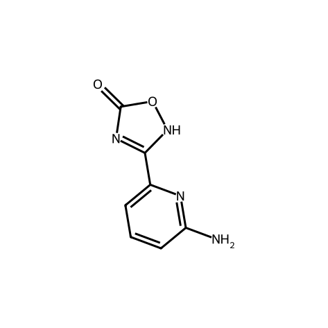 Nc1cccc(-c2nc(=O)o[nH]2)n1